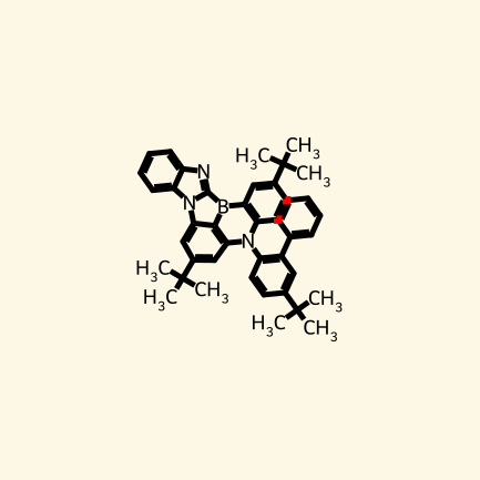 CC(C)(C)c1ccc2c(c1)B1c3c(cc(C(C)(C)C)cc3-n3c1nc1ccccc13)N2c1ccc(C(C)(C)C)cc1-c1ccccc1